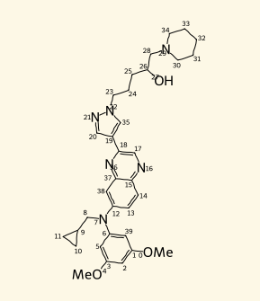 COc1cc(OC)cc(N(CC2CC2)c2ccc3ncc(-c4cnn(CCCC(O)CN5CCCCC5)c4)nc3c2)c1